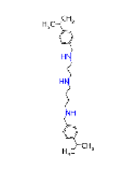 CC(C)c1ccc(CNCCCCNCCCNCc2ccc(C(C)C)cc2)cc1